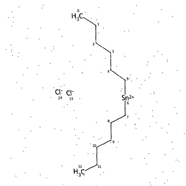 CCCCC[CH2][Sn+2][CH2]CCCCC.[Cl-].[Cl-]